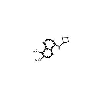 COc1c(NC(C)=O)ccc2c(NC3CCC3)ccnc12